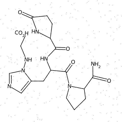 NC(=O)C1CCCN1C(=O)C(Cc1cncn1NCC(=O)O)NC(=O)C1CCC(=O)N1